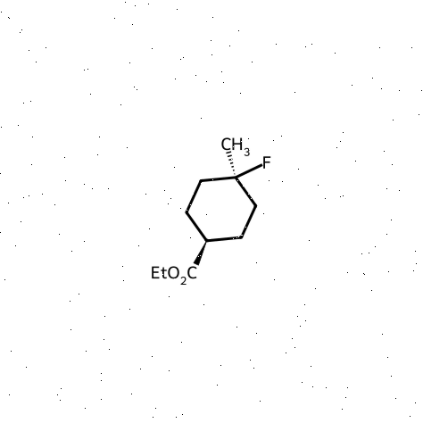 CCOC(=O)[C@H]1CC[C@@](C)(F)CC1